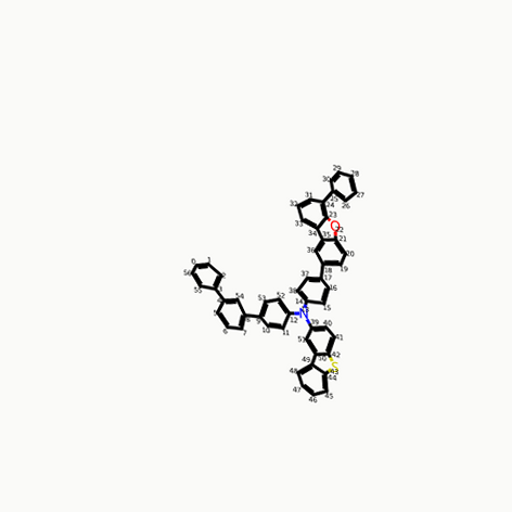 c1ccc(-c2cccc(-c3ccc(N(c4ccc(-c5ccc6oc7c(-c8ccccc8)cccc7c6c5)cc4)c4ccc5sc6ccccc6c5c4)cc3)c2)cc1